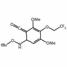 COC1=CC(NOC(C)(C)C)C(=C=O)C(OC)=C1OCC(F)(F)F